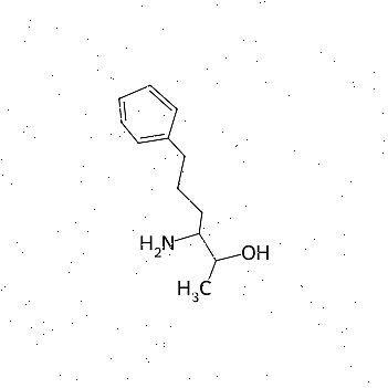 CC(O)C(N)CCCc1ccccc1